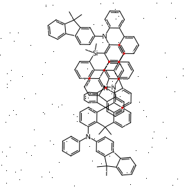 CC1(C)c2ccccc2-c2ccc(N(c3ccccc3)c3cccc4c3C(C)(C)c3ccccc3C43c4ccccc4-n4c5ccc(-c6cccc(-c7ccccc7N(c7ccc8c(c7)C(C)(C)c7ccccc7-8)c7cccc8c7[Si](C)(C)c7ccccc7C87c8ccccc8-n8c9ccccc9c9cccc7c98)c6)cc5c5cccc3c54)cc21